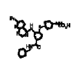 CC(C)c1ccc2c(Nc3cc(C(=O)NCc4ccccc4)ccc3Sc3ccc(NC(=O)O)cc3)ncnc2n1